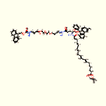 Cc1ccc(C(OC(=O)[C@H](CCC(=O)NCCCOCCOCCOCCCNC(=O)OCC2c3ccccc3-c3ccccc32)NC(=O)CCCCCCCCCCCCCCCCC(=O)OC(C)(C)C)(c2ccccc2)c2ccccc2)cc1